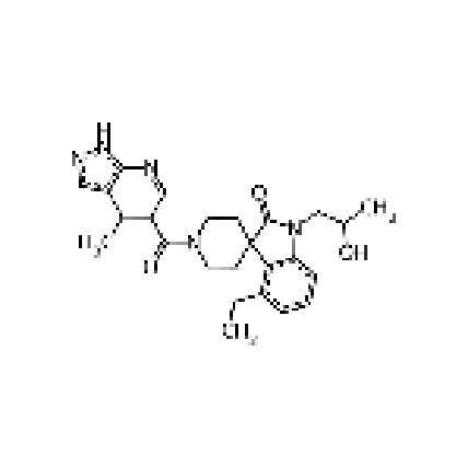 CCc1cccc2c1C1(CCN(C(=O)C3C=Nc4[nH]ncc4C3C)CC1)C(=O)N2CC(C)O